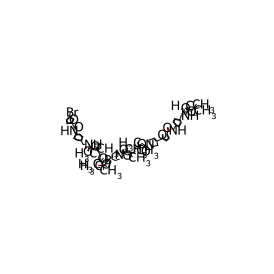 CC(C)(C)OC(=O)NCc1ccc(NC(=O)c2ccc(C3=CCN(C(=O)OC(C)(C)CCC(C)(C)OC(=O)N4CC=C(B5OC(C)(C)C(C)(CCC(C)(C)OC(=O)NCc6ccc(NC(=O)c7ccc(Br)o7)cc6)O5)CC4)CC3)o2)cc1